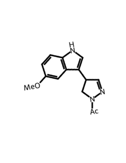 COc1ccc2[nH]cc(C3C=NN(C(C)=O)C3)c2c1